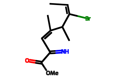 C/C=C(/Br)C(C)/C(C)=C\C(=N)C(=O)OC